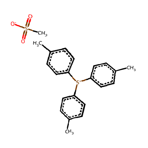 CS(=O)(=O)[O-].Cc1ccc([S+](c2ccc(C)cc2)c2ccc(C)cc2)cc1